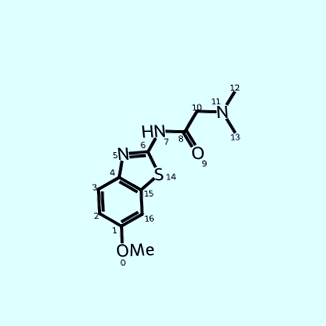 COc1ccc2nc(NC(=O)CN(C)C)sc2c1